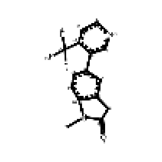 CN1C(=O)Cc2cc(-c3cnccc3C(F)(F)F)ccc21